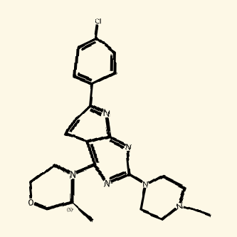 C[C@H]1COCCN1c1nc(N2CCN(C)CC2)nc2nc(-c3ccc(Cl)cc3)ccc12